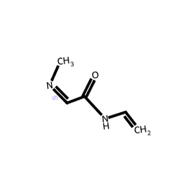 C=CNC(=O)/C=N\C